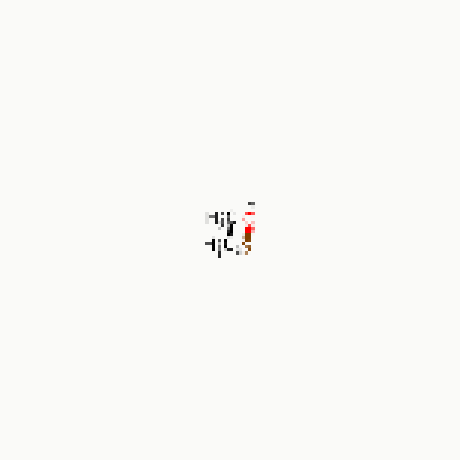 CC.O=S